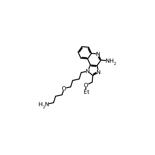 CCOCc1nc2c(N)nc3ccccc3c2n1CCCCOCCCN